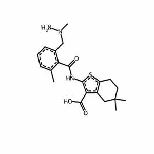 Cc1cccc(CN(C)N)c1C(=O)Nc1sc2c(c1C(=O)O)CC(C)(C)CC2